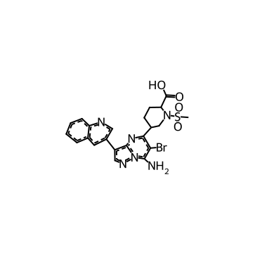 CS(=O)(=O)N1CC(c2nc3c(-c4cnc5ccccc5c4)cnn3c(N)c2Br)CCC1C(=O)O